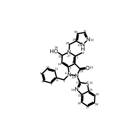 CC1=c2c(n(Cc3ccccc3)n(-c3nc4ccccc4s3)c2=O)=CC(O)N1Cc1ccn[nH]1